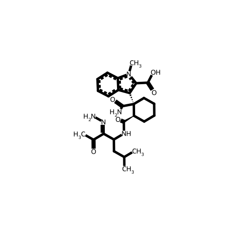 CC(=O)C(=NN)C(CC(C)C)NC(=O)[C@@H]1CCCC[C@@]1(C(N)=O)c1c(C(=O)O)n(C)c2ccccc12